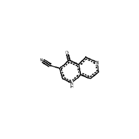 N#Cc1c[nH]c2ccncc2c1=O